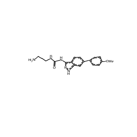 COc1ccc(-c2ccc3c(NC(=O)NCCN)n[nH]c3c2)cc1